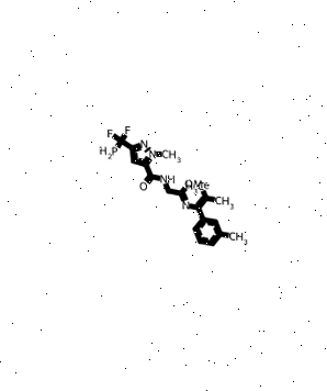 CO/C(CNC(=O)c1cc(C(F)(F)P)nn1C)=N\C(=C(C)C)c1cccc(C)c1